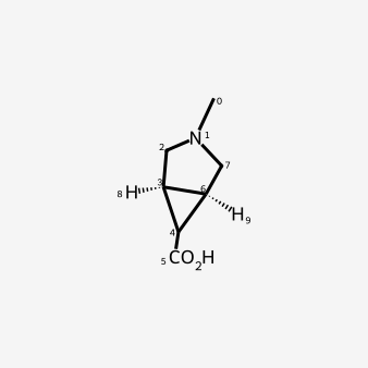 CN1C[C@@H]2C(C(=O)O)[C@@H]2C1